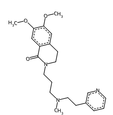 COc1cc2c(cc1OC)C(=O)N(CCCN(C)CCc1cccnc1)CC2